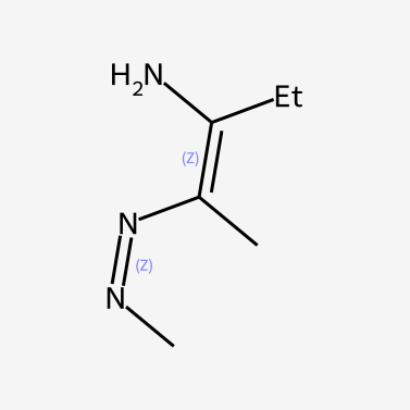 CC/C(N)=C(C)/N=N\C